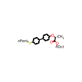 CCCCCCCCOC(=O)[C@@H](C)Oc1ccc(-c2ccc(SCCCCC)cc2)cc1